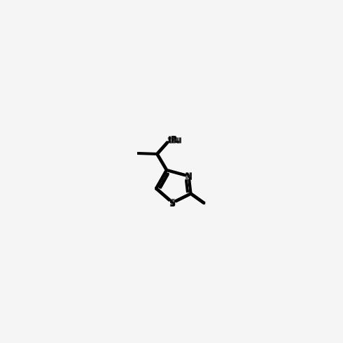 Cc1nc(C(C)C(C)(C)C)cs1